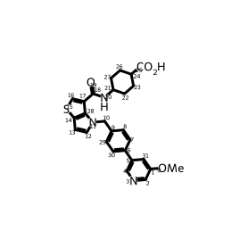 COc1cncc(-c2ccc(Cn3ccc4scc(C(=O)NC5CCC(C(=O)O)CC5)c43)cc2)c1